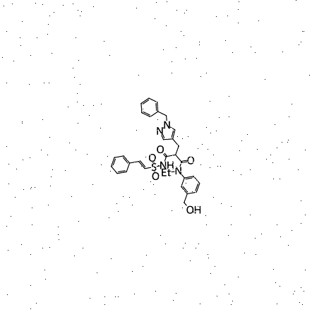 CCN(C(=O)C(Cc1cnn(Cc2ccccc2)c1)C(=O)NS(=O)(=O)C=Cc1ccccc1)c1cccc(CO)c1